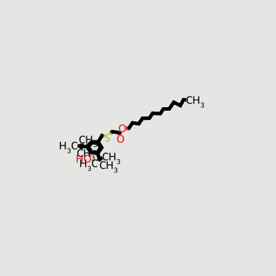 CCCCCCCCCCCCCOC(=O)CSCc1cc(C(C)(C)C)c(O)c(C(C)(C)C)c1